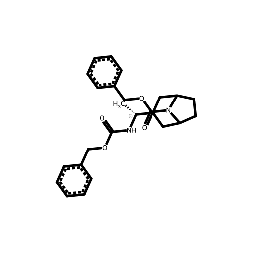 C[C@@H](NC(=O)OCc1ccccc1)C1CC2CCC(C1)N2C(=O)OCc1ccccc1